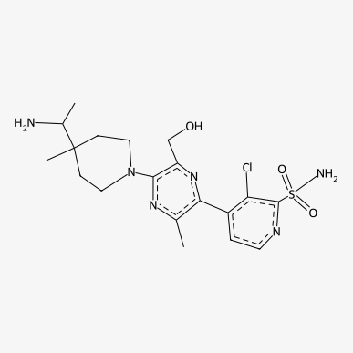 Cc1nc(N2CCC(C)(C(C)N)CC2)c(CO)nc1-c1ccnc(S(N)(=O)=O)c1Cl